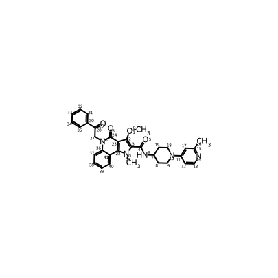 COc1c(C(=O)NC2CCN(c3ccnc(C)c3)CC2)n(C)c2c1c(=O)n(CC(=O)c1ccccc1)c1ccccc21